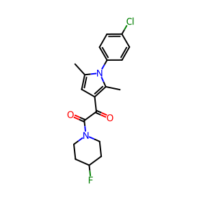 Cc1cc(C(=O)C(=O)N2CCC(F)CC2)c(C)n1-c1ccc(Cl)cc1